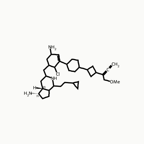 C=C=C(COC)C1CC(C2CCC(C3=CC(N)CC(CC4C[C@@H]5C(CC[C@@H]5N)C(CCC5CC5)N4)C3Cl)CC2)C1